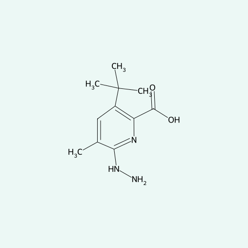 Cc1cc(C(C)(C)C)c(C(=O)O)nc1NN